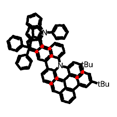 CC(C)(C)c1cc(-c2cccc3cccc(-c4ccccc4N(c4cccc(-c5cccc6c7ccccc7n(-c7ccccc7)c56)c4)c4ccccc4-c4ccc5c(c4)C(c4ccccc4)(c4ccccc4)c4ccccc4-5)c23)cc(C(C)(C)C)c1